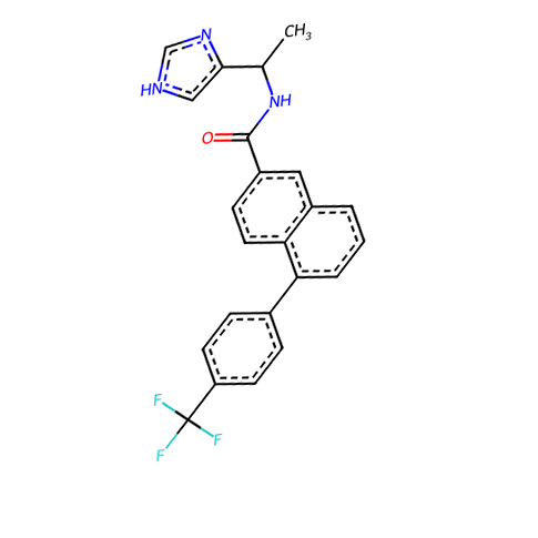 CC(NC(=O)c1ccc2c(-c3ccc(C(F)(F)F)cc3)cccc2c1)c1c[nH]cn1